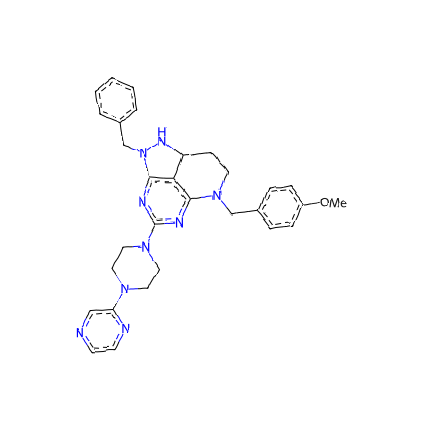 COc1ccc(CN2CCC3NN(Cc4ccccc4)c4nc(N5CCN(c6cnccn6)CC5)nc2c43)cc1